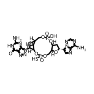 Nc1nc2c(nnn2C2S[C@@H]3COP(=O)(O)O[C@H]4C[C@H](c5cnc6c(N)ncnn56)O[C@@H]4COP(=O)(S)O[C@@H]2[C@@H]3O)c(=O)[nH]1